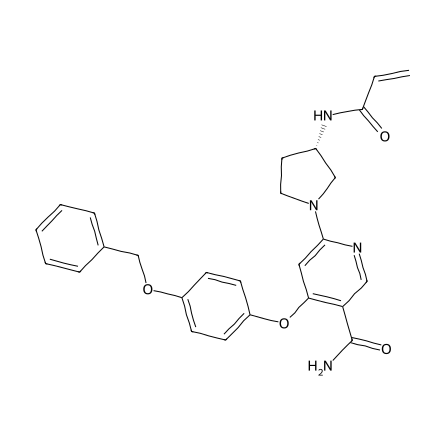 C=CC(=O)N[C@H]1CCN(c2cc(Oc3ccc(OCc4ccccc4)cc3)c(C(N)=O)cn2)C1